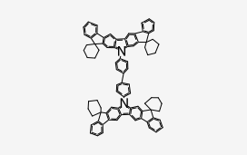 c1ccc2c(c1)-c1cc3c4cc5c(cc4n(-c4ccc(-c6ccc(-n7c8cc9c(cc8c8cc%10c(cc87)C7(CCCCC7)c7ccccc7-%10)-c7ccccc7C97CCCCC7)cc6)cc4)c3cc1C21CCCCC1)C1(CCCCC1)c1ccccc1-5